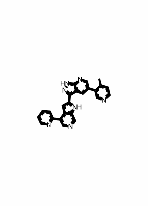 Cc1ccncc1-c1cnc2[nH]nc(-c3cc4c(-c5ccccn5)cncc4[nH]3)c2c1